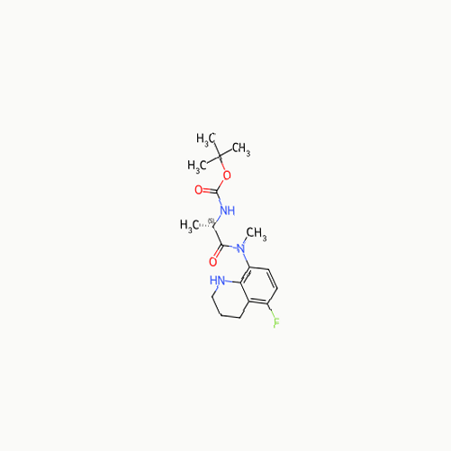 C[C@H](NC(=O)OC(C)(C)C)C(=O)N(C)c1ccc(F)c2c1NCCC2